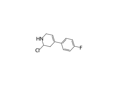 Fc1ccc(C2=CCNC(Cl)C2)cc1